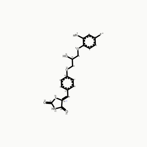 CCCc1cc(F)ccc1OCC(O)COc1ccc(/C=C2\SC(=O)NC2=O)cc1